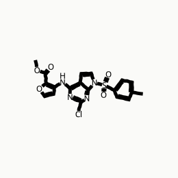 COC(=O)c1occc1Nc1nc(Cl)nc2c1ccn2S(=O)(=O)c1ccc(C)cc1